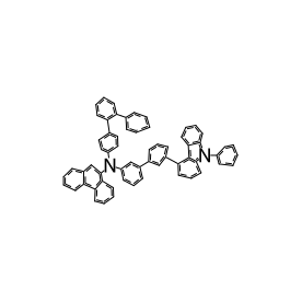 c1ccc(-c2ccccc2-c2ccc(N(c3cccc(-c4cccc(-c5cccc6c5c5ccccc5n6-c5ccccc5)c4)c3)c3cc4ccccc4c4ccccc34)cc2)cc1